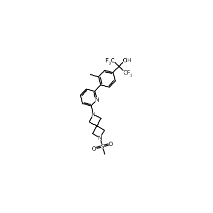 Cc1cc(C(O)(C(F)(F)F)C(F)(F)F)ccc1-c1cccc(N2CC3(C2)CN(S(C)(=O)=O)C3)n1